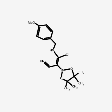 COc1ccc(CN/C(Cl)=C(\C=N)B2OC(C)(C)C(C)(C)O2)cc1